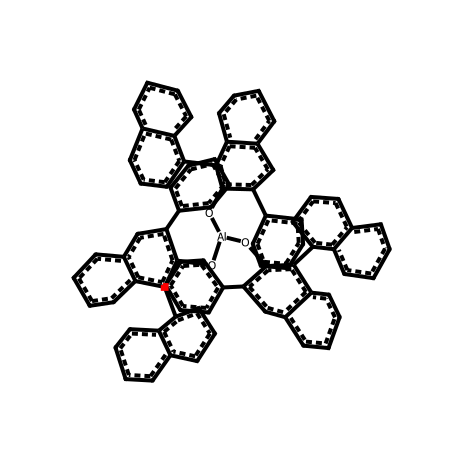 c1ccc(-c2cc3ccccc3c(-c3cccc4ccccc34)c2[O][Al]([O]c2c(-c3ccccc3)cc3ccccc3c2-c2cccc3ccccc23)[O]c2c(-c3ccccc3)cc3ccccc3c2-c2cccc3ccccc23)cc1